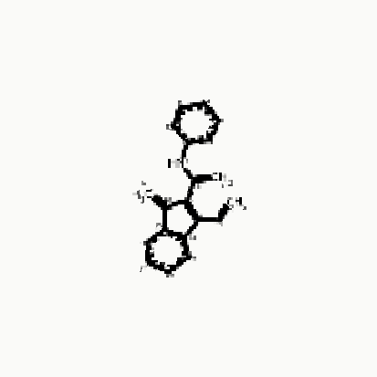 C=CC1=C(C(=C)Nc2ccccc2)C(=C)c2ccccc21